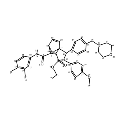 CCOC(=O)C1=C(C(=O)Nc2ccc(C)c(F)c2)C2C=CC1(C(Nc1ccc(OC)cc1)c1ccc(CN3CCOCC3)cc1)O2